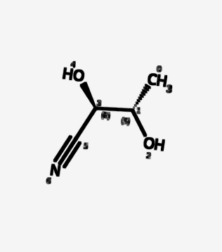 C[C@H](O)[C@H](O)C#N